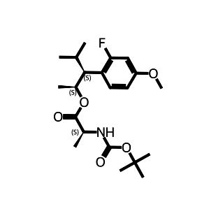 COc1ccc([C@H](C(C)C)[C@H](C)OC(=O)[C@H](C)NC(=O)OC(C)(C)C)c(F)c1